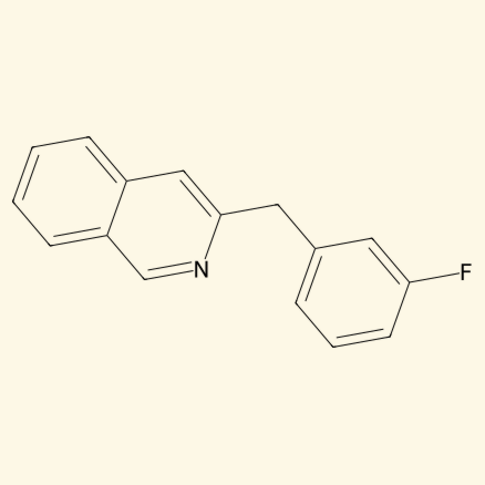 Fc1cccc(Cc2cc3ccccc3cn2)c1